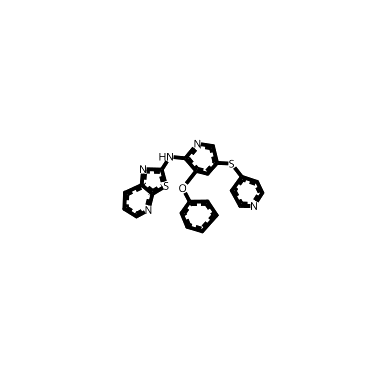 c1ccc(Oc2cc(Sc3ccncc3)cnc2Nc2nc3cccnc3s2)cc1